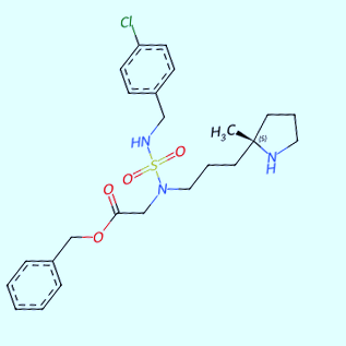 C[C@@]1(CCCN(CC(=O)OCc2ccccc2)S(=O)(=O)NCc2ccc(Cl)cc2)CCCN1